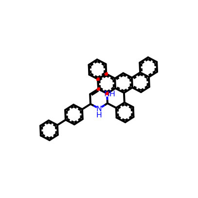 C1=C(c2ccccc2)NC(c2ccccc2-c2c3ccccc3cc3c2ccc2ccccc23)NC1c1ccc(-c2ccccc2)cc1